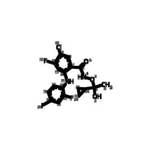 CC(O)(ONC(=O)c1cc(Cl)c(F)cc1Nc1ccc(I)cc1F)C1CC1